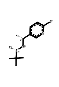 C[C@@H](N[S@@+]([O-])C(C)(C)C)c1ccc(Br)nc1